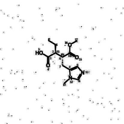 CC[C@H](C(=O)O)[C@@H](Cc1cncn1C)C(=O)OC